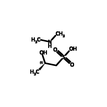 CNC.C[C@H](O)CS(=O)(=O)O